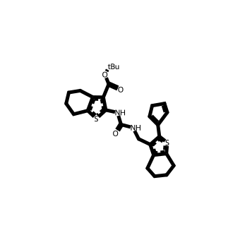 CC(C)(C)OC(=O)c1c(NC(=O)NCc2c(C3=CCC=C3)sc3c2CCCC3)sc2c1CCCC2